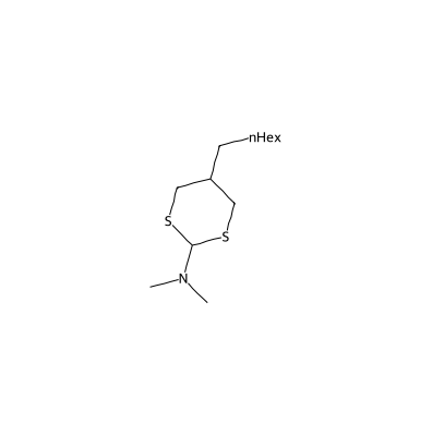 CCCCCCCC1CSC(N(C)C)SC1